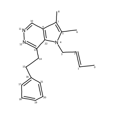 C/C=C/Cn1c(C)c(C)c2cnnc(CCc3ccccc3)c21